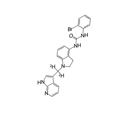 [2H]C([2H])(c1c[nH]c2ncccc12)N1CCc2c(NC(=O)Nc3ccccc3Br)cccc21